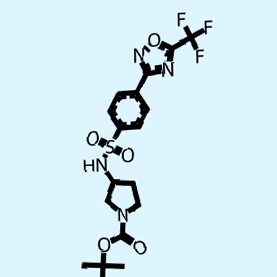 CC(C)(C)OC(=O)N1CCC(NS(=O)(=O)c2ccc(-c3noc(C(F)(F)F)n3)cc2)C1